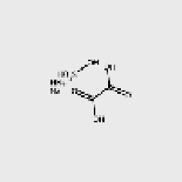 O=C(O)C(=O)O.O=S(=O)(O)O.[NaH].[NaH]